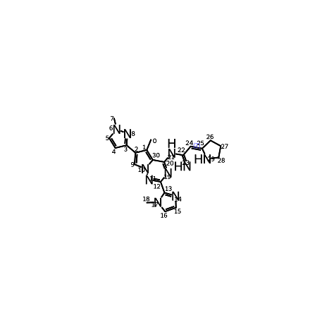 Cc1c(-c2ccn(C)n2)cn2nc(-c3nccn3C)nc(NC(=N)/C=C3/CCCN3)c12